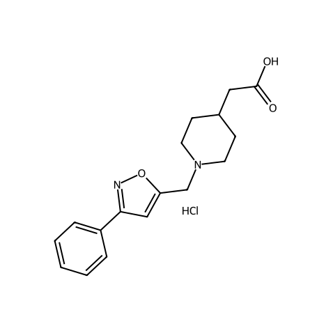 Cl.O=C(O)CC1CCN(Cc2cc(-c3ccccc3)no2)CC1